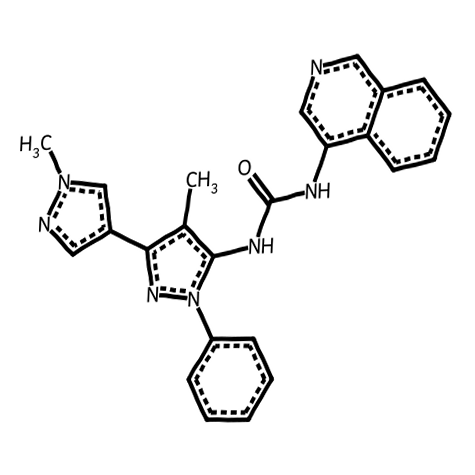 Cc1c(-c2cnn(C)c2)nn(-c2ccccc2)c1NC(=O)Nc1cncc2ccccc12